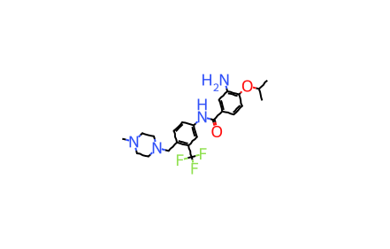 CC(C)Oc1ccc(C(=O)Nc2ccc(CN3CCN(C)CC3)c(C(F)(F)F)c2)cc1N